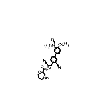 COc1ccc(-c2ccc(CC(C#N)NC(=O)C3CNCCCO3)c(C#N)c2)cc1N(C)C=O